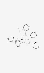 Cc1ccc(S(=O)(=O)/N=C2\OC(c3ccccc3[N+](=O)[O-])=CC23C(c2ccccc2)C(c2ccccc2)=NN3c2ccccc2)cc1